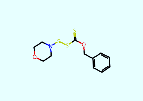 S=C(OCc1ccccc1)SSN1CCOCC1